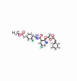 COC(=O)Cc1ccc(CNC(=O)c2cc(F)cnc2OC2=COC(Cc3ccccc3)O2)c(F)c1